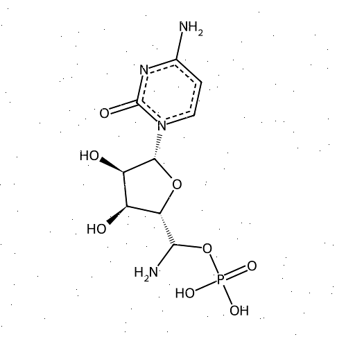 Nc1ccn([C@@H]2O[C@H](C(N)OP(=O)(O)O)[C@@H](O)[C@H]2O)c(=O)n1